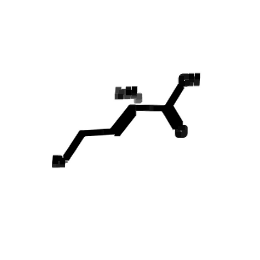 O=C(O)C=CCBr.[InH3]